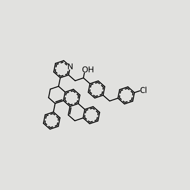 OC(Cc1ncccc1C1CCC(c2ccccc2)=c2c1ccc1c2=CCc2ccccc2-1)c1ccc(Cc2ccc(Cl)cc2)cc1